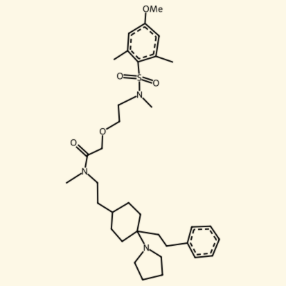 COc1cc(C)c(S(=O)(=O)N(C)CCOCC(=O)N(C)CCC2CCC(CCc3ccccc3)(N3CCCC3)CC2)c(C)c1